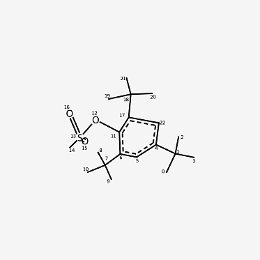 CC(C)(C)c1cc(C(C)(C)C)c(OS(C)(=O)=O)c(C(C)(C)C)c1